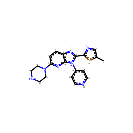 Cc1cnc(-c2nc3ccc(N4CCNCC4)nc3n2-c2ccncc2)s1